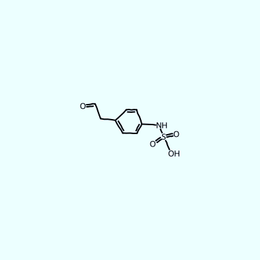 O=CCc1ccc(NS(=O)(=O)O)cc1